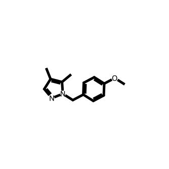 COc1ccc(Cn2ncc(C)c2C)cc1